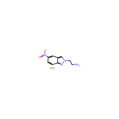 Cl.NCCn1cc2cc([N+](=O)[O-])ccc2n1